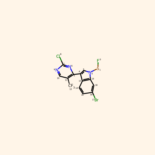 FSn1cc(-c2nc(Cl)ncc2C(F)(F)F)c2ccc(Br)cc21